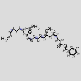 CC/C=C\C/C=C\CC(\C=C/C=C/C=C/C(C/C=C\CCC(=O)OCc1ccccc1)OP)OPP